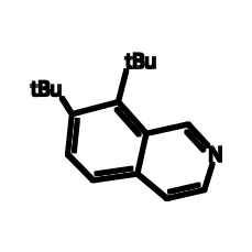 CC(C)(C)c1ccc2ccncc2c1C(C)(C)C